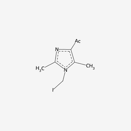 CC(=O)c1nc(C)n(CI)c1C